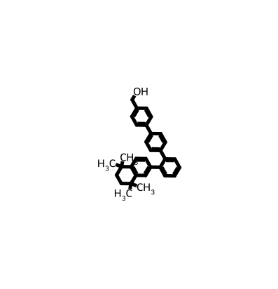 CC1(C)CCC(C)(C)c2cc(-c3ccccc3-c3ccc(-c4ccc(CO)cc4)cc3)ccc21